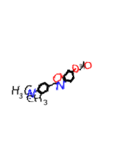 CN(C)c1ccc(-c2nc3ccc(OC[C@H]4CO4)cc3o2)cc1